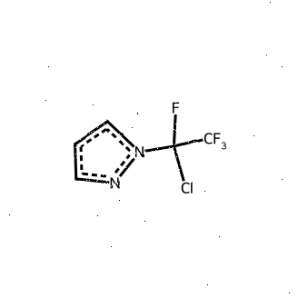 FC(F)(F)C(F)(Cl)n1cccn1